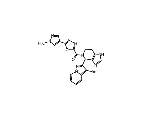 Cn1cc(-c2nnc(C(=O)N3CCc4[nH]cnc4C3c3nn4ccccc4c3Br)o2)cn1